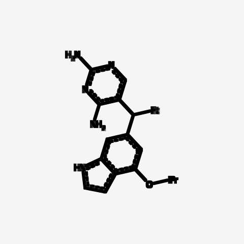 CCC(c1cc(OC(C)C)c2cc[nH]c2c1)c1cnc(N)nc1N